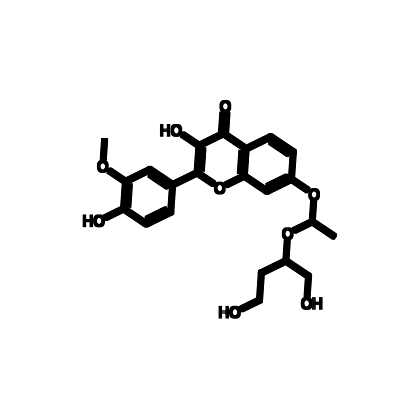 COc1cc(-c2oc3cc(OC(C)OC(CO)CCO)ccc3c(=O)c2O)ccc1O